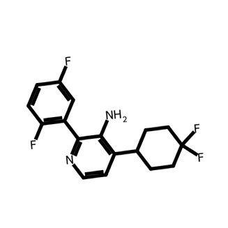 Nc1c(C2CCC(F)(F)CC2)ccnc1-c1cc(F)ccc1F